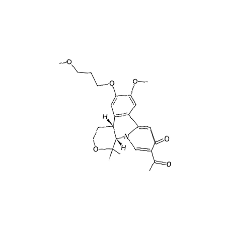 COCCCOc1cc2c(cc1OC)-c1cc(=O)c(C(C)=O)cn1[C@H]1[C@@H]2CCOC1(C)C